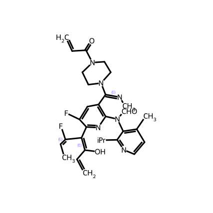 C=CC(=O)N1CCN(/C(=N/C)c2cc(F)c(C(/C(F)=C\C)=C(\O)C=C)nc2N(C=O)c2c(C)ccnc2C(C)C)CC1